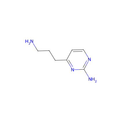 NCCCc1ccnc(N)n1